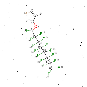 Cc1cscc1OC(F)C(F)(F)C(F)(F)C(F)(F)C(F)(F)C(F)(F)C(F)(F)C(F)F